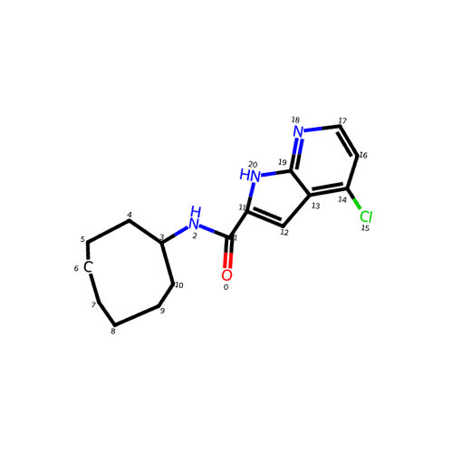 O=C(NC1CCCCCCC1)c1cc2c(Cl)ccnc2[nH]1